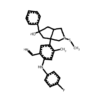 CSN1CC2CC(O)(c3ccccc3)CC2(c2cc(C=N)c(Nc3ccc(F)cc3)cc2C)C1